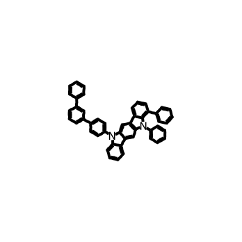 c1ccc(-c2cccc(-c3ccc(-n4c5ccccc5c5cc6c(cc54)c4cccc(-c5ccccc5)c4n6-c4ccccc4)cc3)c2)cc1